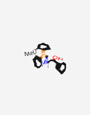 COc1ccccc1P(CN[C@@H](C)C(O)c1ccccc1)c1ccccc1